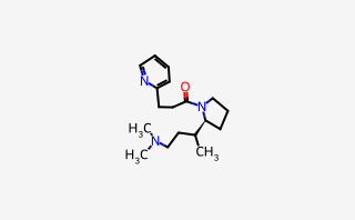 CC(CCN(C)C)[C@@H]1CCCN1C(=O)CCc1ccccn1